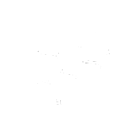 CCc1ccccc1Sc1ccsc1